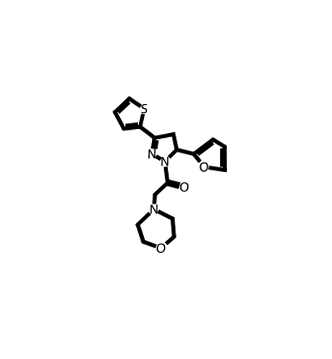 O=C(CN1CCOCC1)N1N=C(c2cccs2)CC1c1ccco1